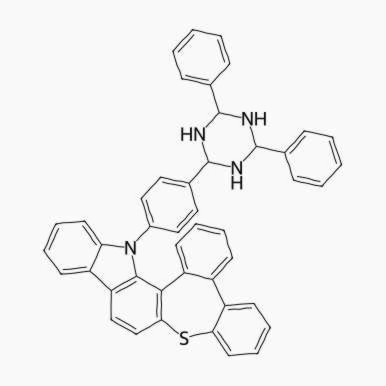 c1ccc(C2NC(c3ccccc3)NC(c3ccc(-n4c5ccccc5c5ccc6c(c54)-c4ccccc4-c4ccccc4S6)cc3)N2)cc1